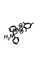 Cc1cc(C)c(S(=O)(=O)NCC(N)(c2ccccc2)c2ccccc2)c(C)c1